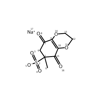 CC1(S(=O)(=O)[O-])CC(=O)C2=C(OCCO2)C1=O.[Na+]